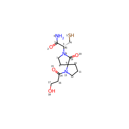 NC(=O)[C@H](CS)N1CCC2(CCCN2C(=O)CCO)C1=O